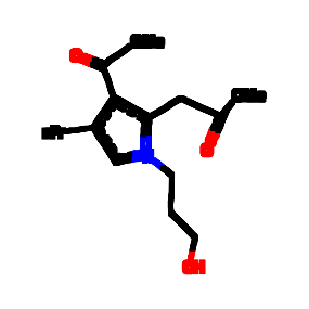 CCCc1cn(CCCO)c(CC(=O)OC)c1C(=O)OC